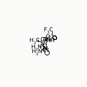 C=C/C(C#N)=C(/NC(=O)N[S+]([O-])c1ccccc1CCC(F)(F)F)N(N)c1nn2c(c1N)CCCC2